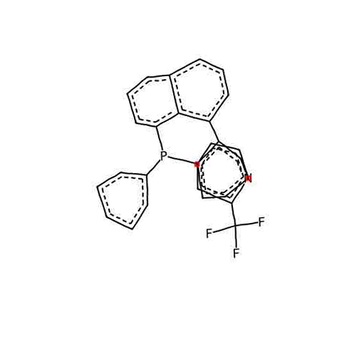 FC(F)(F)c1ccc(-c2cccc3cccc(P(c4ccccc4)c4ccccc4)c23)cn1